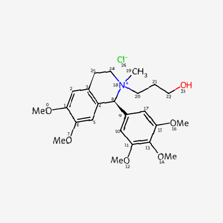 COc1cc2c(cc1OC)[C@H](c1cc(OC)c(OC)c(OC)c1)[N+](C)(CCCO)CC2.[Cl-]